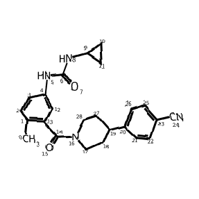 Cc1ccc(NC(=O)NC2CC2)cc1C(=O)N1CCC(c2ccc(C#N)cc2)CC1